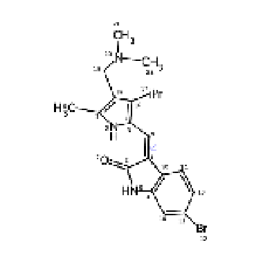 Cc1[nH]c(/C=C2\C(=O)Nc3cc(Br)ccc32)c(C(C)C)c1CN(C)C